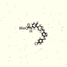 COC(=O)Nc1ccc(F)c(C2CCN(Cc3ccc(Sc4ccc(Cl)cc4)nc3)CC2)c1